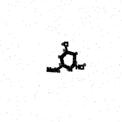 CNc1cc(Cl)ccn1.Cl